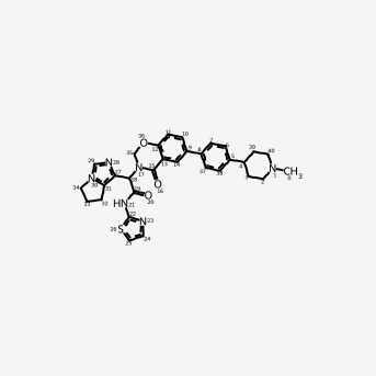 CN1CCC(c2ccc(-c3ccc4c(c3)C(=O)N(C(C(=O)Nc3nccs3)c3ncn5c3CCC5)CO4)cc2)CC1